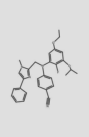 CCOc1cc(OC(C)C)c(F)c(N(Cc2nc(-c3ccccc3)cn2C)c2ccc(C#N)cc2)c1